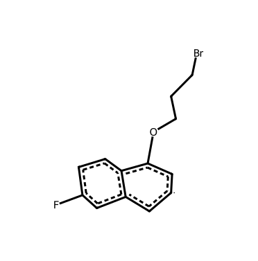 Fc1ccc2c(OCCCBr)c[c]cc2c1